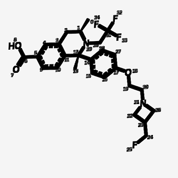 C[C@@H]1Cc2cc(C(=O)O)ccc2[C@@](C)(c2ccc(OCCN3CC(CF)C3)cc2)N1CC(F)(F)F